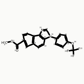 COC(=O)c1ccc2c(ccc3c2ncn3-c2ccc(OC(F)(F)F)cc2)c1